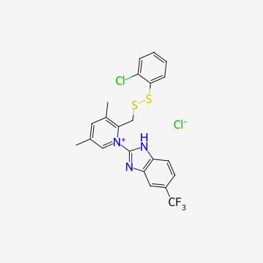 Cc1cc(C)c(CSSc2ccccc2Cl)[n+](-c2nc3cc(C(F)(F)F)ccc3[nH]2)c1.[Cl-]